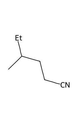 CCC(C)CCC#N